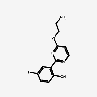 NCCNc1ccnc(-c2cc(F)ccc2O)n1